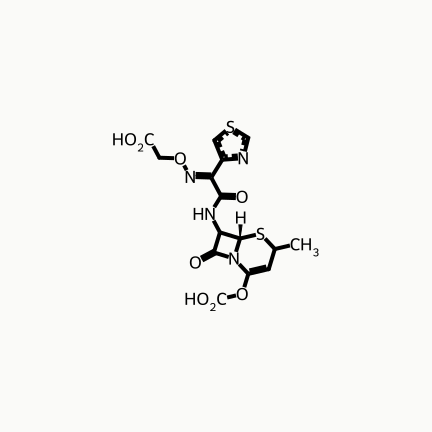 CC1C=C(OC(=O)O)N2C(=O)C(NC(=O)C(=NOCC(=O)O)c3cscn3)[C@@H]2S1